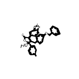 Cc1ccc(C2(O)OC(=O)C(c3ccc4nsnc4c3)=C2Cc2ccc(OCc3ccccc3)cc2)cc1